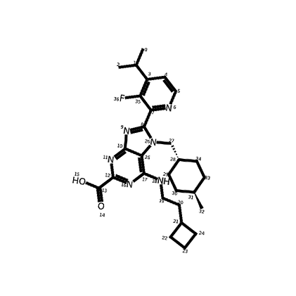 CC(C)c1ccnc(-c2nc3nc(C(=O)O)nc(NCCC4CCC4)c3n2C[C@H]2CC[C@H](C)CC2)c1F